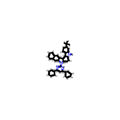 Cn1c2cc(C(C)(C)C)ccc2c2c3c4cc5ccccc5cc4n(-c4nc(-c5ccccc5)cc(-c5ccccc5)n4)c3ccc21